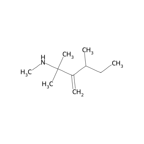 C=C(C(C)CC)C(C)(C)NC